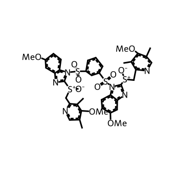 COc1ccc2c(c1)nc([S+]([O-])Cc1ncc(C)c(OC)c1C)n2S(=O)(=O)c1cccc(S(=O)(=O)n2c([S+]([O-])Cc3ncc(C)c(OC)c3C)nc3cc(OC)ccc32)c1